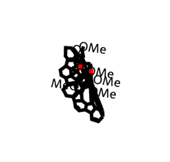 COC(=O)CCCC1(c2c(OC)cc(OC)c(OC)c2OC)C23c4c5c6c7c8c4=C4CCC=8C8C=CC9C%10C=CC%11C%12=c%13c%14c(c-5c5c%13=C(CC%12)C(CCC42)C513)C6=C(C9C78)C%10C%14%11